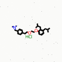 CC(C)Cc1cccc(OCCOCCc2ccc(CN(C)C)cc2)c1CC(C)C.Cl